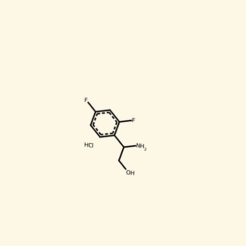 Cl.NC(CO)c1ccc(F)cc1F